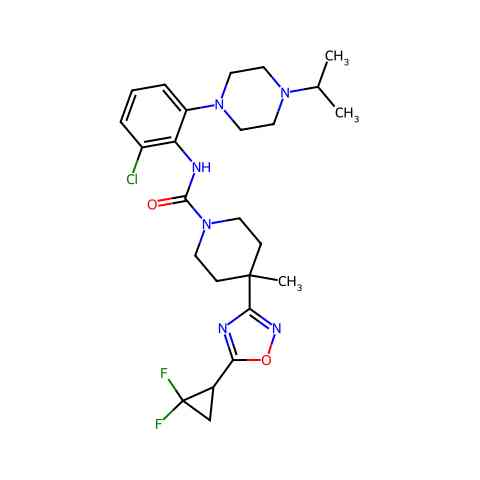 CC(C)N1CCN(c2cccc(Cl)c2NC(=O)N2CCC(C)(c3noc(C4CC4(F)F)n3)CC2)CC1